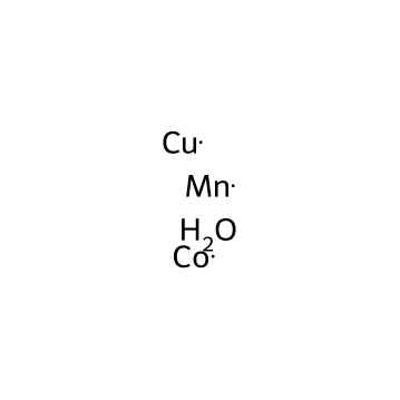 O.[Co].[Cu].[Mn]